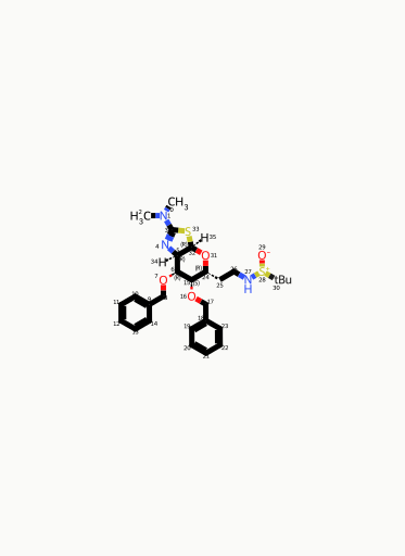 CN(C)C1=N[C@@H]2[C@@H](OCc3ccccc3)[C@@H](OCc3ccccc3)[C@@H](CCN[S+]([O-])C(C)(C)C)O[C@@H]2S1